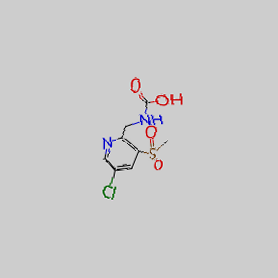 CS(=O)(=O)c1cc(Cl)cnc1CNC(=O)O